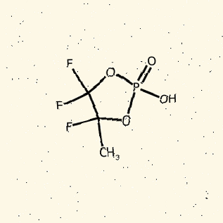 CC1(F)OP(=O)(O)OC1(F)F